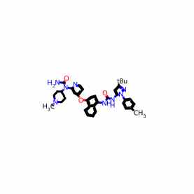 Cc1ccc(-n2nc(C(C)(C)C)cc2NC(=O)Nc2ccc(Oc3ccnc(N(C(N)=O)C4CCN(C)CC4)c3)c3ccccc23)cc1